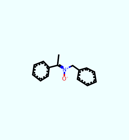 C/C(c1ccccc1)=[N+](/[O-])Cc1ccccc1